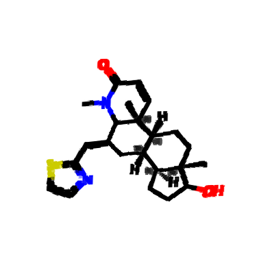 CN1C(=O)C=C[C@@]2(C)C1C(=Cc1nccs1)C[C@@H]1[C@H]2CC[C@]2(C)C(O)CC[C@@H]12